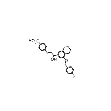 O=C(O)c1ccc(C=CC(O)c2cc3c(c(OCc4ccc(F)cc4)c2)CCCC3)cc1